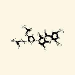 CCCCC(=O)OC[C@H]1O[C@@H](n2cc(F)c(=O)n(C(=O)c3cc(C)cc(C)c3)c2=O)C[C@@H]1OC(=O)CCCC